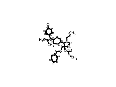 CCCN1C=NC(CSCc2ccccc2)(OC(=O)OC)C1C1CCC(C(c2ccc(Cl)cc2)N(C)C)CC1